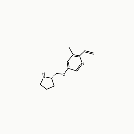 C=Cc1ncc(OC[C@@H]2CCCN2)cc1C